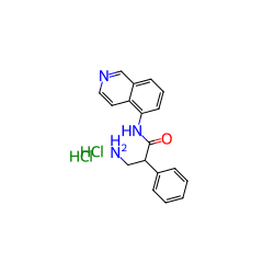 Cl.Cl.NCC(C(=O)Nc1cccc2cnccc12)c1ccccc1